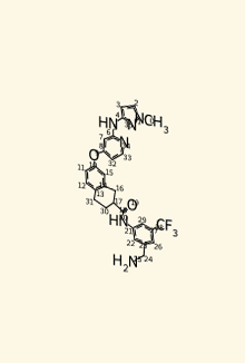 Cn1ccc(Nc2cc(Oc3ccc4c(c3)CC(C(=O)Nc3cc(CN)cc(C(F)(F)F)c3)CC4)ccn2)n1